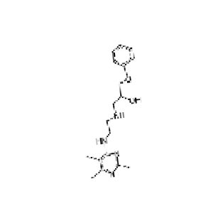 Cc1nc(C)c(C)c(NCCNCC(O)COc2ccccc2)n1